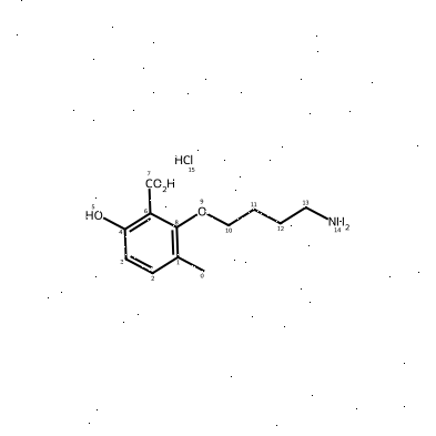 Cc1ccc(O)c(C(=O)O)c1OCCCCN.Cl